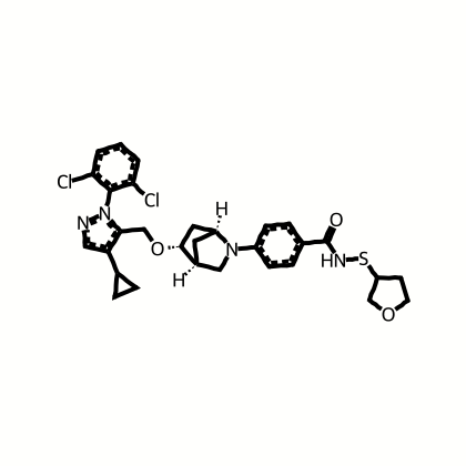 O=C(NSC1CCOC1)c1ccc(N2C[C@@H]3C[C@H]2C[C@H]3OCc2c(C3CC3)cnn2-c2c(Cl)cccc2Cl)cc1